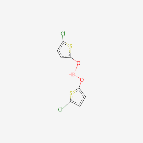 Clc1ccc(OBOc2ccc(Cl)s2)s1